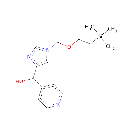 C[Si](C)(C)CCOCn1cnc(C(O)c2ccncc2)c1